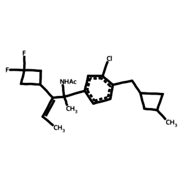 C/C=C(/C1CC(F)(F)C1)C(C)(NC(C)=O)c1ccc(CC2CC(C)C2)c(Cl)c1